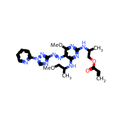 C=CC(=O)OCC(C)Nc1nc(NC(C)COC)c(N=Nc2ncn(-c3ccccn3)n2)c(OC)n1